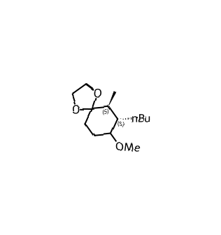 CCCC[C@@H]1C(OC)CCC2(OCCO2)[C@H]1C